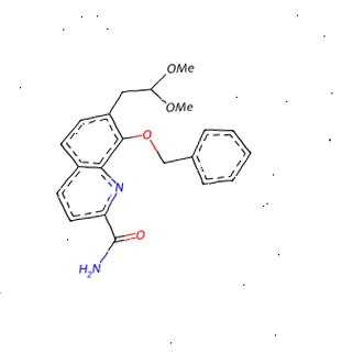 COC(Cc1ccc2ccc(C(N)=O)nc2c1OCc1ccccc1)OC